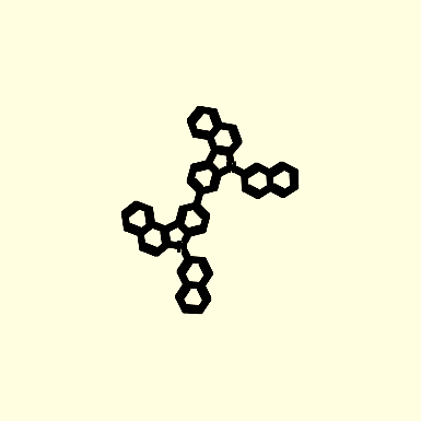 c1ccc2cc(-n3c4ccc(-c5ccc6c7c8ccccc8ccc7n(-c7ccc8ccccc8c7)c6c5)cc4c4c5ccccc5ccc43)ccc2c1